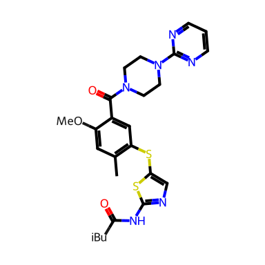 CCC(C)C(=O)Nc1ncc(Sc2cc(C(=O)N3CCN(c4ncccn4)CC3)c(OC)cc2C)s1